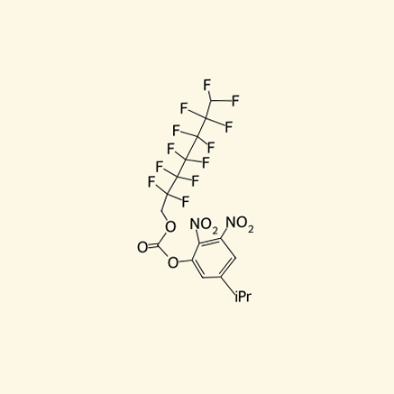 CC(C)c1cc(OC(=O)OCC(F)(F)C(F)(F)C(F)(F)C(F)(F)C(F)(F)C(F)F)c([N+](=O)[O-])c([N+](=O)[O-])c1